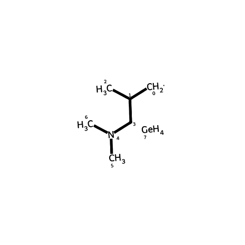 [CH2]C(C)CN(C)C.[GeH4]